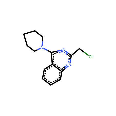 ClCc1nc(N2CCCCC2)c2ccccc2n1